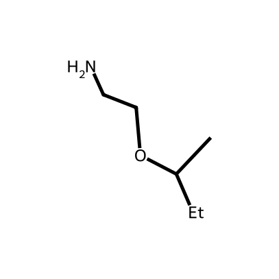 CCC(C)OCCN